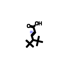 CC(C)(C)C(/C=C/C(=O)O)C(C)(C)C